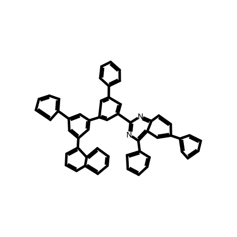 c1ccc(-c2cc(-c3cc(-c4ccccc4)cc(-c4cccc5ccccc45)c3)cc(-c3nc(-c4ccccc4)c4cc(-c5ccccc5)ccc4n3)c2)cc1